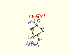 O=S(=O)(O)Nc1ccc2c(c1)CNCC2